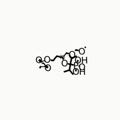 COCOC[C@H](CCOS(C)(=O)=O)OC(C(C)C)(C(C)C)P(=O)(O)O